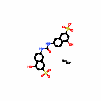 O=C(Nc1ccc2c(O)cc(S(=O)(=O)[O-])cc2c1)Nc1ccc2c(O)cc(S(=O)(=O)[O-])cc2c1.[Na+].[Na+]